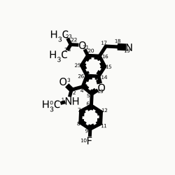 CNC(=O)c1c(-c2ccc(F)cc2)oc2cc(CC#N)c(OC(C)C)cc12